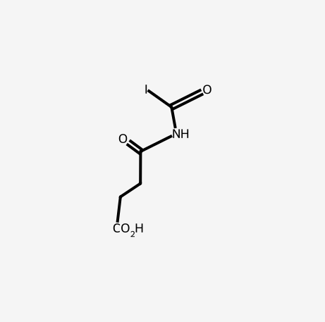 O=C(O)CCC(=O)NC(=O)I